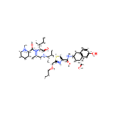 CCCO[C@H](CC(C(C)C)N(CCC)C(=O)[C@@H](NC(=O)[C@H]1CCCCN1C)[C@@H](C)CC)c1nc(C(=O)N[C@H]2Cc3ccc(O)cc3[C@H](C=O)C2)cs1